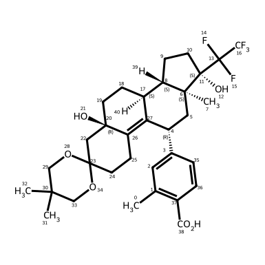 Cc1cc([C@H]2C[C@@]3(C)[C@@H](CC[C@@]3(O)C(F)(F)C(F)(F)F)[C@@H]3CC[C@@]4(O)CC5(CCC4=C32)OCC(C)(C)CO5)ccc1C(=O)O